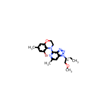 CC[C@H](COC)n1nnc2c(N3CCOc4cc(C)cc(Br)c43)nc(C)cc21